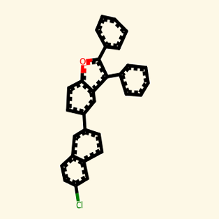 Clc1ccc2cc(-c3ccc4oc(-c5ccccc5)c(-c5ccccc5)c4c3)ccc2c1